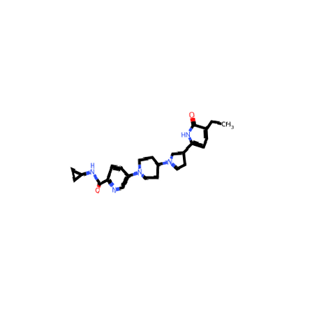 CCc1ccc(C2CCN(C3CCN(c4ccc(C(=O)NC5CC5)nc4)CC3)C2)[nH]c1=O